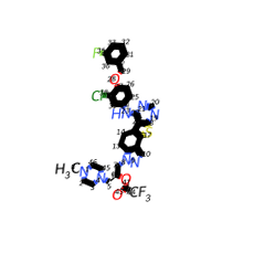 CN1CCN(C[C@H](Cn2ncc3c2CCc2c-3sc3ncnc(Nc4ccc(OCc5cccc(F)c5)c(Cl)c4)c23)OC(=O)C(F)(F)F)CC1